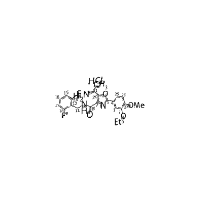 CCOc1cc(-c2nc(C(=O)NCc3c(F)cccc3F)c(C(C)N)o2)ccc1OC.Cl